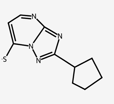 [S]c1ccnc2nc(C3CCCC3)nn12